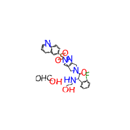 O=C(C(NCCO)c1ccccc1F)N1Cc2cn(S(=O)(=O)c3ccc4ncccc4c3)nc2C1.O=CO